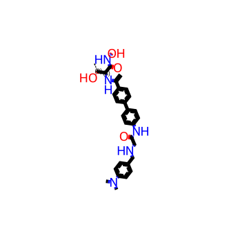 C=C(N[C@H](C(=O)NO)[C@@H](C)O)c1ccc(-c2ccc(NC(=O)CNCc3ccc(N(C)C)cc3)cc2)cc1